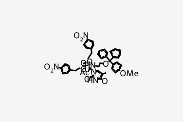 COc1ccc(C(OCCNC(C(C)=O)(n2cc(C)c(=O)[nH]c2=O)P(=O)(OCCc2ccc([N+](=O)[O-])cc2)OCCc2ccc([N+](=O)[O-])cc2)(c2ccccc2)c2ccccc2)cc1